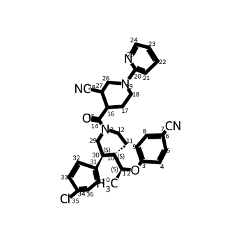 C[C@H](Oc1ccc(C#N)cc1)[C@H]1CCN(C(=O)C2CCN(c3ccccn3)CC2C#N)C[C@@H]1c1ccc(Cl)cc1